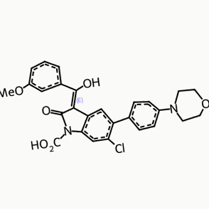 COc1cccc(/C(O)=C2\C(=O)N(C(=O)O)c3cc(Cl)c(-c4ccc(N5CCOCC5)cc4)cc32)c1